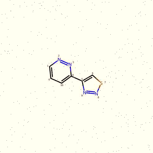 c1cnnc(-c2csnn2)c1